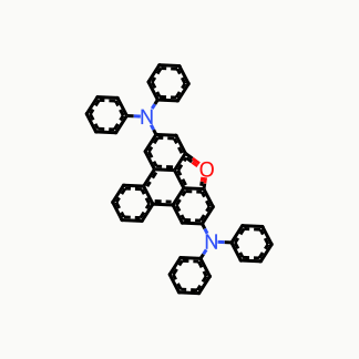 c1ccc(N(c2ccccc2)c2cc3oc4cc(N(c5ccccc5)c5ccccc5)cc5c6ccccc6c(c2)c3c45)cc1